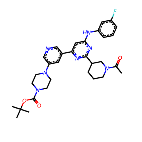 CC(=O)N1CCCC(c2nc(Nc3cccc(F)c3)cc(-c3cncc(N4CCN(C(=O)OC(C)(C)C)CC4)c3)n2)C1